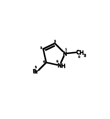 CN1C=[C]C(Br)N1